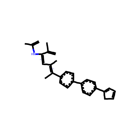 C=C(C)N/C(=C/C(C)=C(\C)c1ccc(-c2ccc(C3=CC=CC3)cc2)cc1)C(=C)C